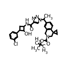 CC(c1ccc2c(c1)CN(C(=O)OC(C)(C)C)CC21CC1)n1cc(C(=O)NC2CC(c3cccc(Cl)c3)C2O)nn1